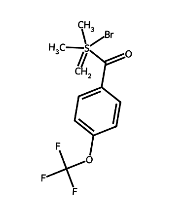 C=S(C)(C)(Br)C(=O)c1ccc(OC(F)(F)F)cc1